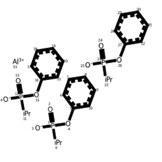 CC(C)P(=O)([O-])Oc1ccccc1.CC(C)P(=O)([O-])Oc1ccccc1.CC(C)P(=O)([O-])Oc1ccccc1.[Al+3]